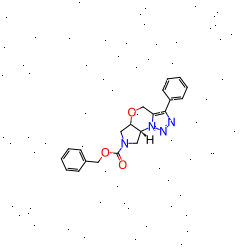 O=C(OCc1ccccc1)N1CC2OCc3c(-c4ccccc4)nnn3[C@@H]2C1